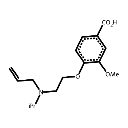 C=CCN(CCOc1ccc(C(=O)O)cc1OC)C(C)C